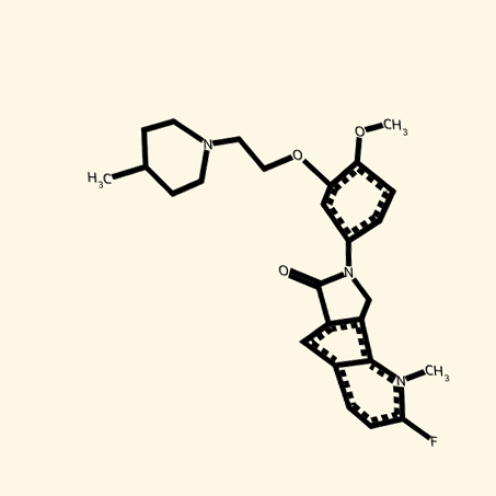 COc1ccc(N2Cc3c(cc4ccc(F)n(C)c3-4)C2=O)cc1OCCN1CCC(C)CC1